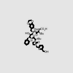 CC(C)(C)[C@H](NC(=O)O)C(=O)NN(Cc1ccc2c(c1)OCCO2)C[C@H](O)[C@H](Cc1ccccc1)NC(=O)[C@@H](N1CCN(Cc2cccc(CO)n2)C1=O)C(C)(C)C